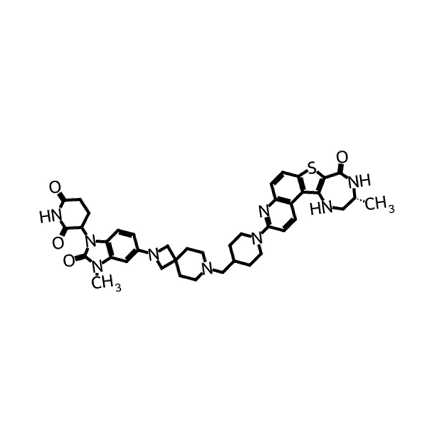 C[C@@H]1CNc2c(sc3ccc4nc(N5CCC(CN6CCC7(CC6)CN(c6ccc8c(c6)n(C)c(=O)n8C6CCC(=O)NC6=O)C7)CC5)ccc4c23)C(=O)N1